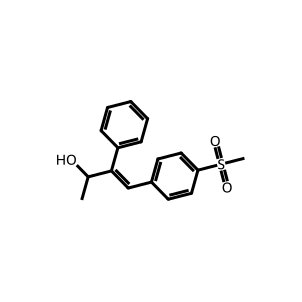 CC(O)/C(=C/c1ccc(S(C)(=O)=O)cc1)c1ccccc1